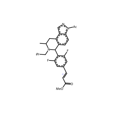 COC(=O)/C=C/c1cc(F)c(C2c3ccc4c(cnn4C(C)=O)c3CC(C)N2CC(C)C)c(F)c1